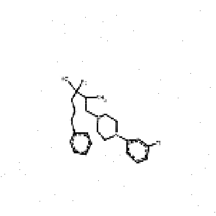 CCC(O)(CCCc1ccccc1)C(C)CN1CCN(c2cccc(Cl)c2)CC1